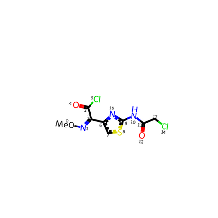 CON=C(C(=O)Cl)c1csc(NC(=O)CCl)n1